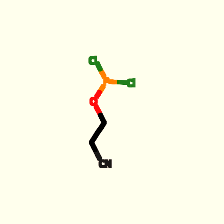 N#CCCOP(Cl)Cl